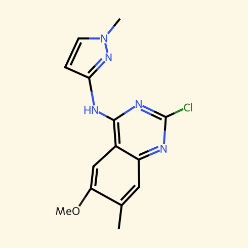 COc1cc2c(Nc3ccn(C)n3)nc(Cl)nc2cc1C